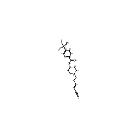 N#CC=CCC[C@H]1CC[C@H](OC(=O)c2ccc(C(F)(F)F)cc2)CC1